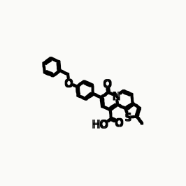 Cc1cc2ccn3c(=O)c(-c4ccc(OCc5ccccc5)cc4)cc(C(=O)O)c3c2s1